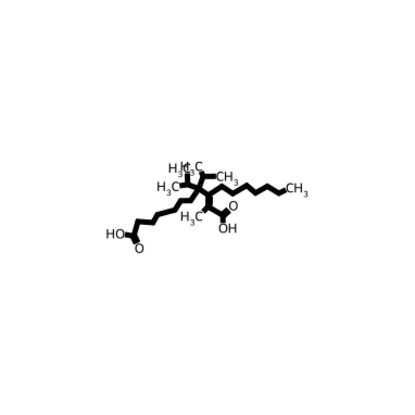 CCCCCCCC(=C(C)C(=O)O)C(CCCCCCC(=O)O)(C(C)C)C(C)C